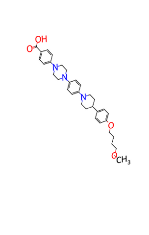 COCCCCOc1ccc(C2CCN(c3ccc(N4CCN(c5ccc(C(=O)O)cc5)CC4)cc3)CC2)cc1